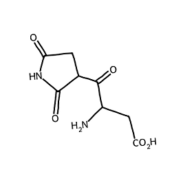 NC(CC(=O)O)C(=O)C1CC(=O)NC1=O